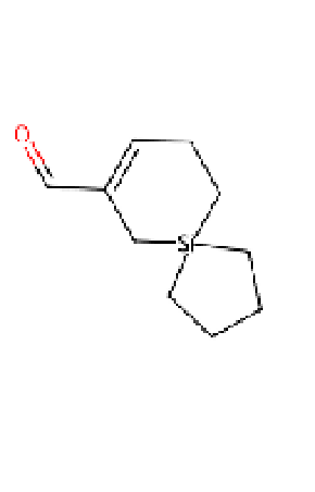 O=CC1=CCC[Si]2(CCCC2)C1